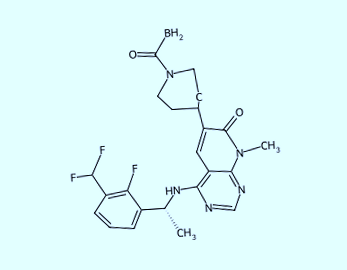 BC(=O)N1CCC(c2cc3c(N[C@H](C)c4cccc(C(F)F)c4F)ncnc3n(C)c2=O)CC1